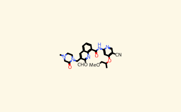 COCC(C)Oc1cc(NC(=O)c2cccc3cc(CN4CCN(C)CC4=O)c(C=O)nc23)ncc1C#N